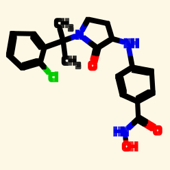 CC(C)(c1ccccc1Cl)N1CCC(Nc2ccc(C(=O)NO)cc2)C1=O